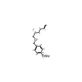 C=CC[CH][C@@H](C)COCc1ccc(OC)cc1